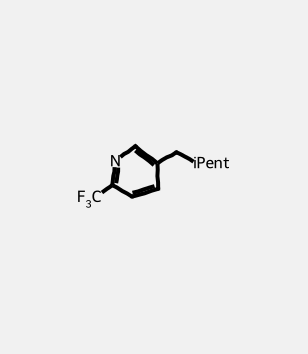 CCCC(C)Cc1ccc(C(F)(F)F)nc1